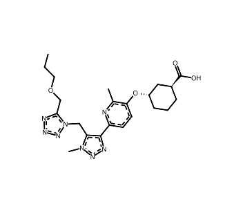 CCCOCc1nnnn1Cc1c(-c2ccc(O[C@H]3CCC[C@H](C(=O)O)C3)c(C)n2)nnn1C